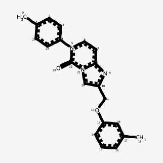 Cc1ccc(-n2ccc3nc(COc4cccc(C)c4)cn3c2=O)cc1